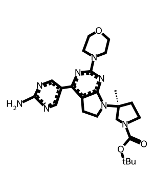 CC(C)(C)OC(=O)N1CC[C@](C)(N2CCc3c(-c4cnc(N)nc4)nc(N4CCOCC4)nc32)C1